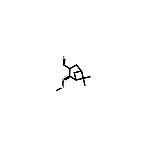 CO/N=C1/C(C=O)CC2CC1C2(C)C